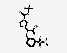 CN(C)S(=O)(=O)c1cccc(C[C@H](C(=O)O)[C@H]2CCN(C(=O)OC(C)(C)C)C2)c1